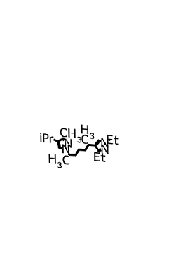 CCc1nn(CC)cc1C(C)CCCC(C)n1cc(C(C)C)c(C)n1